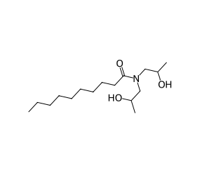 CCCCCCCCCC(=O)N(CC(C)O)CC(C)O